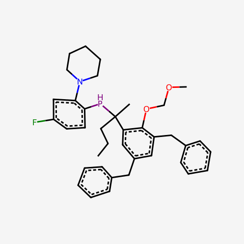 CCCC(C)(Pc1ccc(F)cc1N1CCCCC1)c1cc(Cc2ccccc2)cc(Cc2ccccc2)c1OCOC